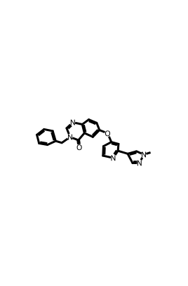 Cn1cc(-c2cc(Oc3ccc4ncn(Cc5ccccc5)c(=O)c4c3)ccn2)cn1